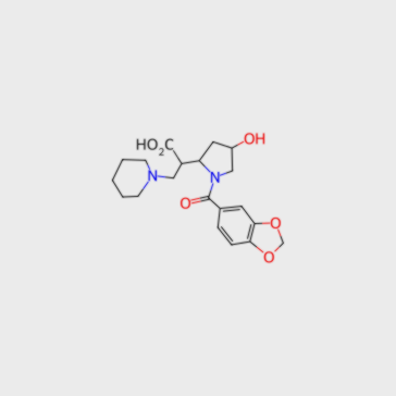 O=C(O)C(CN1CCCCC1)C1CC(O)CN1C(=O)c1ccc2c(c1)OCO2